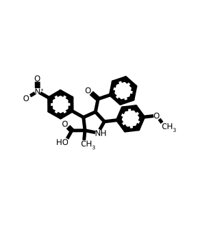 COc1ccc(C2NC(C)(C(=O)O)C(c3ccc([N+](=O)[O-])cc3)C2C(=O)c2ccccc2)cc1